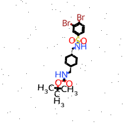 CC(C)(C)OC(=O)NC[C@H]1CC[C@H](CNS(=O)(=O)c2ccc(Br)c(Br)c2)CC1